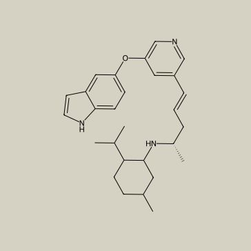 CC1CCC(C(C)C)C(N[C@@H](C)CC=Cc2cncc(Oc3ccc4[nH]ccc4c3)c2)C1